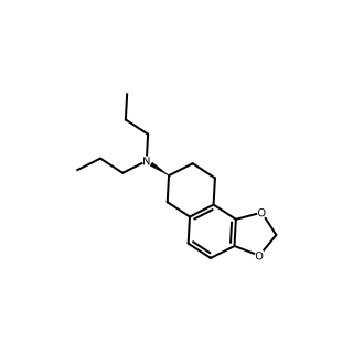 CCCN(CCC)[C@H]1CCc2c(ccc3c2OCO3)C1